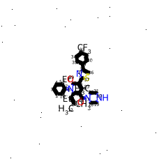 CCc1cccc(CC)c1-n1c(C=C(C)C)c(C(=O)N2CCNC[C@@H]2C)cc(-c2nc(-c3ccc(C(F)(F)F)cc3)cs2)c1=O